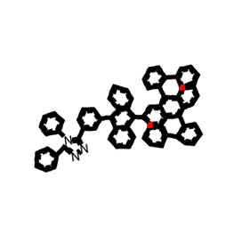 c1ccc(-c2ccccc2-c2c3ccccc3c(-c3ccccc3-c3ccccc3)c3cc(-c4c5ccccc5c(-c5cccc(-c6nnc(-c7ccccc7)n6-c6ccccc6)c5)c5ccccc45)ccc23)cc1